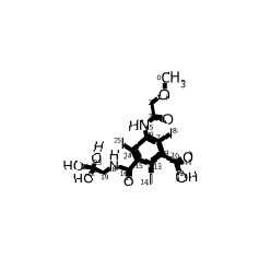 COCC(=O)Nc1c(I)c(C(=O)O)c(I)c(C(=O)NCC(O)(O)O)c1I